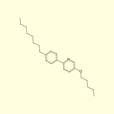 CCCCCCCCc1ccc(-c2ccc(OCCCCC)cn2)cc1